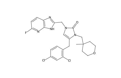 CC1(Cn2c(Cc3ccc(Cl)cc3Cl)cn(Cc3nc4ccc(F)nc4[nH]3)c2=O)CCOCC1